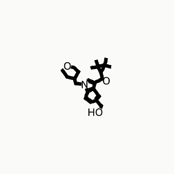 CC1(C)C(C(=O)c2cn(CC3CCOCC3)c3ccc(CO)cc23)C1(C)C